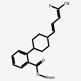 CCCC(C)OC(=O)c1ccccc1C1CCC(/C=C/C=C(F)C#N)CC1